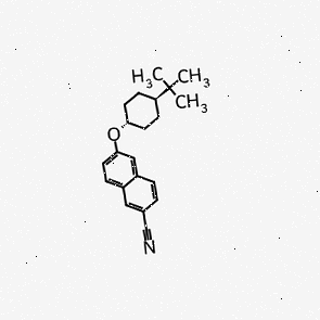 CC(C)(C)[C@H]1CC[C@H](Oc2ccc3cc(C#N)ccc3c2)CC1